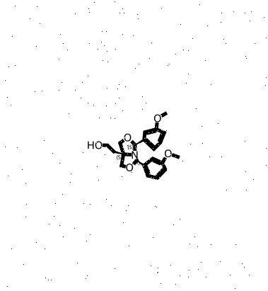 COc1cccc([C@H]2OC[C@]3(CCO)CO[C@@H](c4cccc(OC)c4)N23)c1